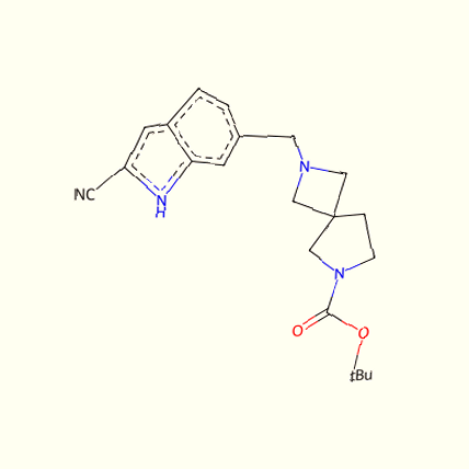 CC(C)(C)OC(=O)N1CCC2(CN(Cc3ccc4cc(C#N)[nH]c4c3)C2)C1